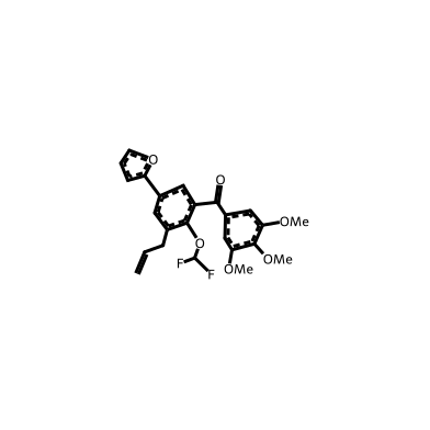 C=CCc1cc(-c2ccco2)cc(C(=O)c2cc(OC)c(OC)c(OC)c2)c1OC(F)F